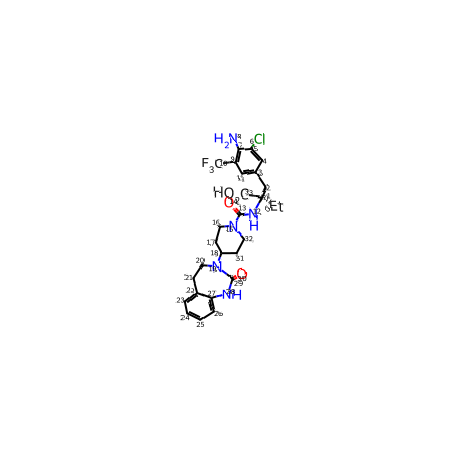 CC[C@](Cc1cc(Cl)c(N)c(C(F)(F)F)c1)(NC(=O)N1CCC(N2CCc3ccccc3NC2=O)CC1)C(=O)O